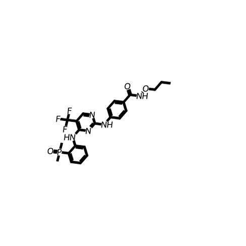 CCCONC(=O)c1ccc(Nc2ncc(C(F)(F)F)c(Nc3ccccc3P(C)(C)=O)n2)cc1